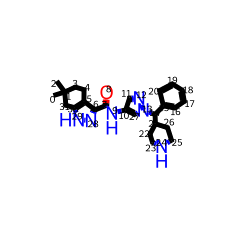 CC1(C)CCc2c(C(=O)Nc3cnn(C(c4ccccc4)C4CCNCC4)c3)n[nH]c2C1